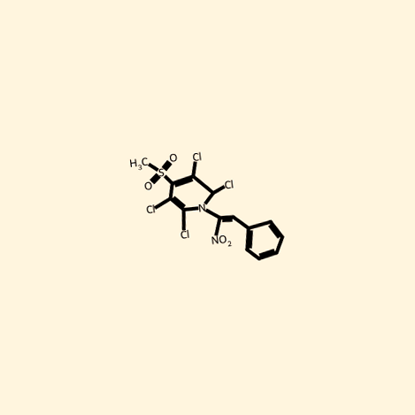 CS(=O)(=O)C1=C(Cl)C(Cl)N(C(=Cc2ccccc2)[N+](=O)[O-])C(Cl)=C1Cl